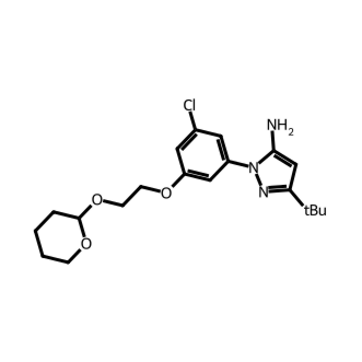 CC(C)(C)c1cc(N)n(-c2cc(Cl)cc(OCCOC3CCCCO3)c2)n1